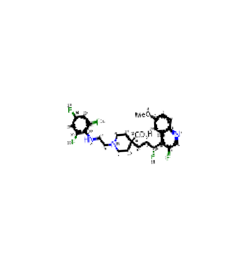 COc1ccc2ncc(F)c([C@H](F)CCC3(C(=O)O)CCN(CCNc4c(F)cc(F)cc4F)CC3)c2c1